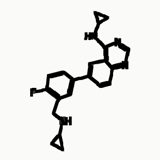 Fc1ccc(-c2ccc3ncnc(NC4CC4)c3c2)cc1CNC1CC1